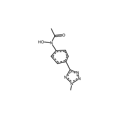 CC(=O)N(O)c1ccc(-c2nnn(C)n2)cc1